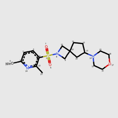 COc1ccc(S(=O)(=O)N2CC3(CCC(N4CCOCC4)C3)C2)c(C)n1